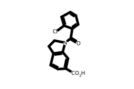 O=C(O)c1ccc2c(c1)N(C(=O)c1ccccc1Cl)CC2